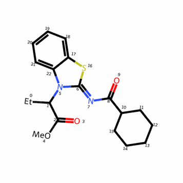 CCC(C(=O)OC)n1c(=NC(=O)C2CCCCC2)sc2ccccc21